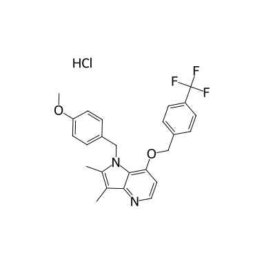 COc1ccc(Cn2c(C)c(C)c3nccc(OCc4ccc(C(F)(F)F)cc4)c32)cc1.Cl